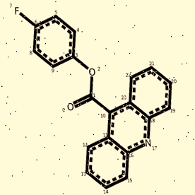 O=C(Oc1ccc(F)cc1)c1c2ccccc2nc2ccccc12